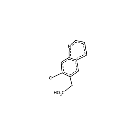 O=C(O)Cc1cc2cccnc2cc1Cl